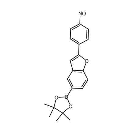 CC1(C)OB(c2ccc3oc(-c4ccc(N=O)cc4)cc3c2)OC1(C)C